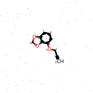 C#CCOc1cccc2c1OCO2